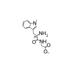 COC(=O)CNC(=O)[C@H](N)Cc1cn(C)c2ccccc12